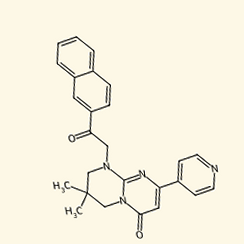 CC1(C)CN(CC(=O)c2ccc3ccccc3c2)c2nc(-c3ccncc3)cc(=O)n2C1